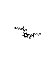 CC(=CC(=O)O)C(=O)Nc1cccc(NC(=O)C(C)=CC(=O)O)c1